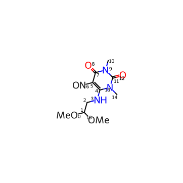 COC(CNc1c(N=O)c(=O)n(C)c(=O)n1C)OC